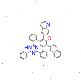 c1ccc(C2=NC(c3ccccc3)NC(c3ccccc3-c3ccc(-c4ccc5ccccc5c4)c4oc5cc6ncccc6cc5c34)=N2)cc1